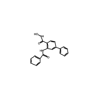 O=C(Nc1cc(-c2ccccc2)ccc1C(=O)NO)c1ccccc1